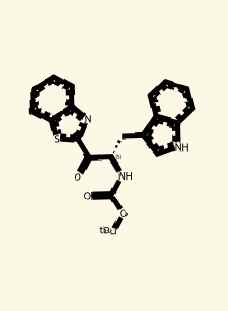 CC(C)(C)OC(=O)N[C@@H](Cc1c[nH]c2ccccc12)C(=O)c1nc2ccccc2s1